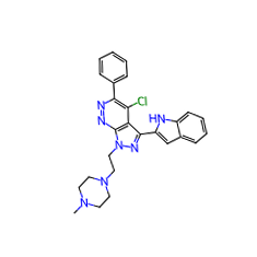 CN1CCN(CCn2nc(-c3cc4ccccc4[nH]3)c3c(Cl)c(-c4ccccc4)nnc32)CC1